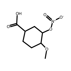 COC1CCC(C(=O)O)CC1O[N+](=O)[O-]